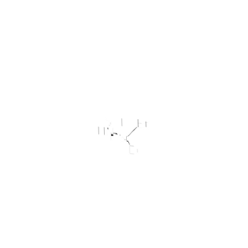 CC[SiH](CC)N[SiH3]